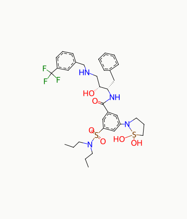 CCCN(CCC)S(=O)(=O)c1cc(C(=O)N[C@@H](Cc2ccccc2)[C@H](O)CNCc2cccc(C(F)(F)F)c2)cc(N2CCCS2(O)O)c1